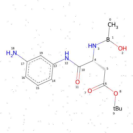 CB(O)N[C@H](CC(=O)OC(C)(C)C)C(=O)Nc1cccc(N)c1